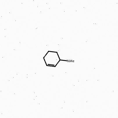 CNC1C=CCCC1